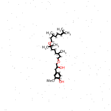 COc1cc(CC(O)COCCC(C)CCCC(C)(C)OCCC(C)CCC=C(C)C)ccc1O